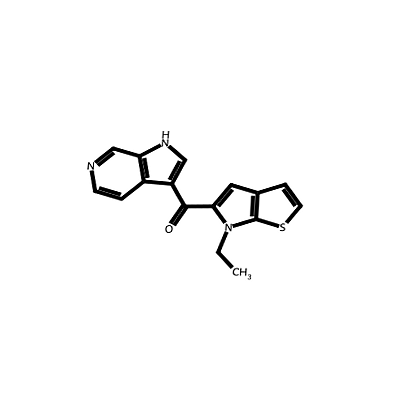 CCn1c(C(=O)c2c[nH]c3cnccc23)cc2ccsc21